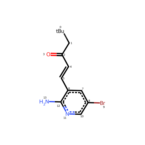 CC(C)(C)CC(=O)/C=C/c1cc(Br)cnc1N